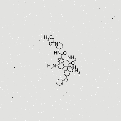 C=CC(=O)N1CCCC(NC(=O)c2sc3c(N)ccc4c3c2C(N)C(=O)C4(N)c2ccc(OC3CCCCC3)cc2C)C1